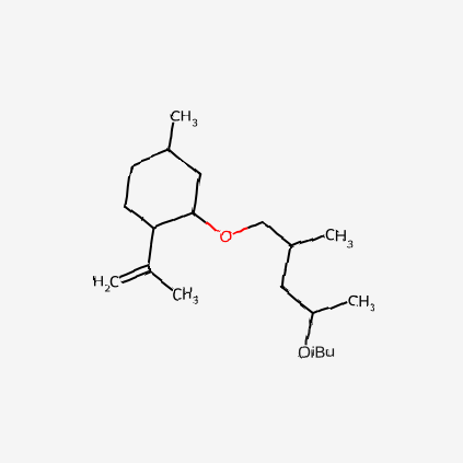 C=C(C)C1CCC(C)CC1OCC(C)CC(C)OCC(C)C